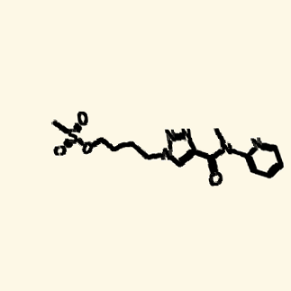 CN(C(=O)c1cn(CCCCOS(C)(=O)=O)nn1)c1ccccn1